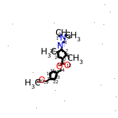 CCN(C)/C=N/c1cc(C)c(C(=O)OCc2ccc(COC)cc2)cc1C